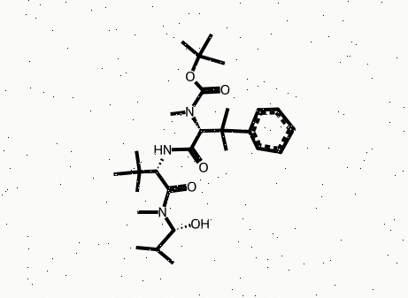 CC(C)[C@@H](O)N(C)C(=O)[C@@H](NC(=O)[C@@H](N(C)C(=O)OC(C)(C)C)C(C)(C)c1ccccc1)C(C)(C)C